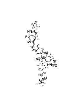 Cc1c(-c2ccc(C[C@@H](C(N)=O)N(c3ccc4[nH]c(=O)[nH]c4c3)C(=O)[C@H]3CC[C@H](CNC(=O)OC(C)(C)C)CC3)cc2)cc2nc(C3CCC3)[nH]c2c1F